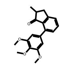 COc1cc(-c2cccc3c2C(=O)C(C)C3)cc(OC)c1OC